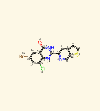 O=c1[nH]c(-c2cc3ccsc3cn2)nc2c(Cl)cc(Br)cc12